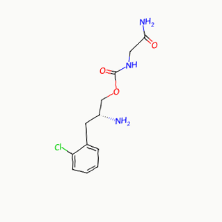 NC(=O)CNC(=O)OC[C@H](N)Cc1ccccc1Cl